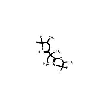 C=C(CC(C)C(F)(F)F)C(C)(CC)C(=O)OC(C)C(F)(F)F